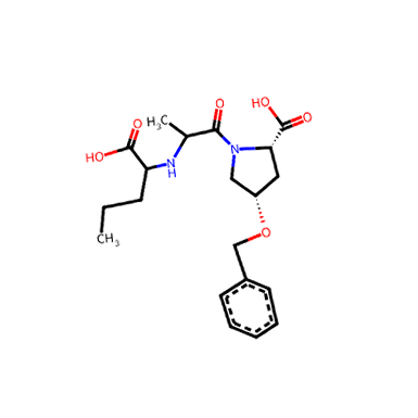 CCCC(NC(C)C(=O)N1C[C@@H](OCc2ccccc2)C[C@H]1C(=O)O)C(=O)O